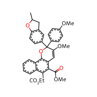 CCOC(=O)c1c(C(=O)OC)c2c(c3ccccc13)OC(c1ccc(OC)cc1)(c1ccc3c(c1)CC(C)O3)C(OC)=C2